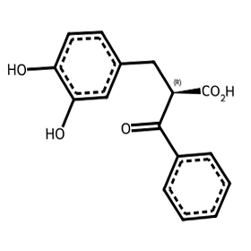 O=C(O)[C@H](Cc1ccc(O)c(O)c1)C(=O)c1ccccc1